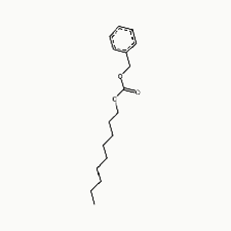 CCCCCCCCCOC(=O)OCc1ccccc1